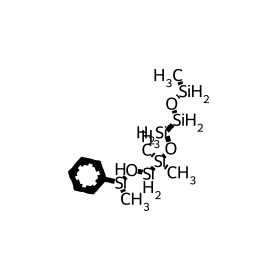 C[SiH2]O[SiH2][SiH2]O[Si](C)(C)[SiH2]O[SiH](C)c1ccccc1